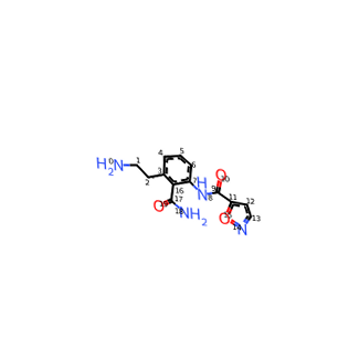 NC[CH]c1cccc(NC(=O)c2ccno2)c1C(N)=O